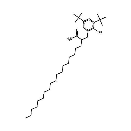 CCCCCCCCCCCCCCCCCCC(Cc1cc(C(C)(C)C)cc(C(C)(C)C)c1O)C(N)=O